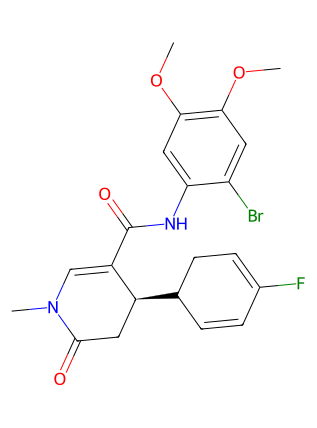 COc1cc(Br)c(NC(=O)C2=CN(C)C(=O)C[C@@H]2C2C=CC(F)=CC2)cc1OC